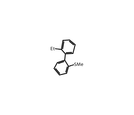 CCc1ccccc1-c1ccccc1SC